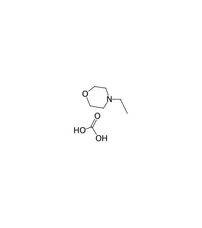 CCN1CCOCC1.O=C(O)O